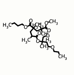 CCCCOC(=O)C(C)(CC(C)C(=O)OC(C)(CC)CCOCCC)CC(C)(C)C(=O)OC